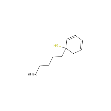 CCCCCCCCCCC1(S)C=CC=CC1